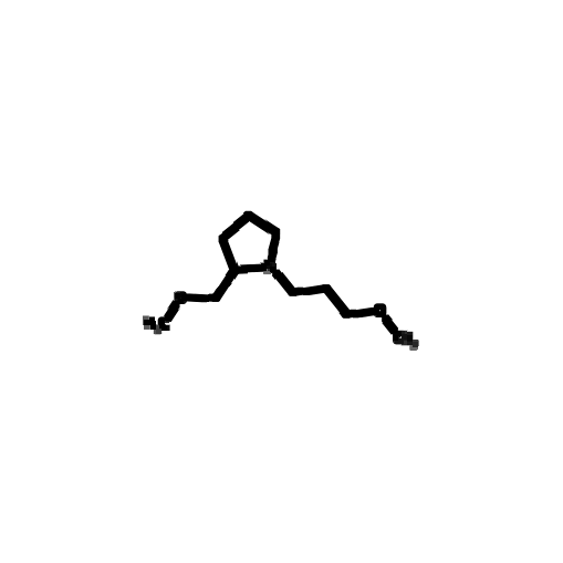 COCCCN1CCCC1COC